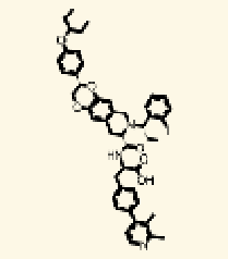 CCC(CC)Oc1ccc([C@H]2COc3cc4c(cc3O2)CN([C@@H](CC)c2ccccc2I)[C@H](C(=O)NC(Cc2ccc(-c3ccnc(C)c3C)cc2)C(=O)O)C4)cc1